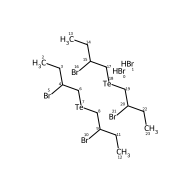 Br.Br.CCC(Br)C[Te]CC(Br)CC.CCC(Br)C[Te]CC(Br)CC